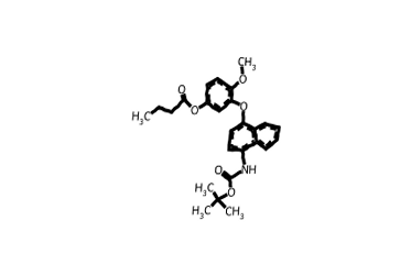 CCCC(=O)Oc1ccc(OC)c(Oc2ccc(NC(=O)OC(C)(C)C)c3ccccc23)c1